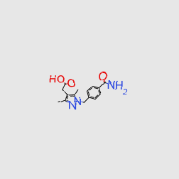 Cc1nn(Cc2ccc(C(N)=O)cc2)c(C)c1CC(=O)O